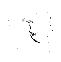 CC#CCNCCCNCC